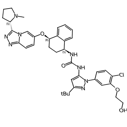 CN1CCC[C@H]1c1nnc2ccc(O[C@@H]3CC[C@H](NC(=O)Nc4cc(C(C)(C)C)nn4-c4ccc(Cl)c(OCCO)c4)c4ccccc43)cn12